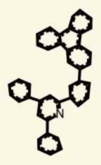 c1ccc(-c2cc(-c3ccccc3)nc(-c3cccc(-c4ccc5c6ccccc6c6ccccc6c5c4)c3)c2)cc1